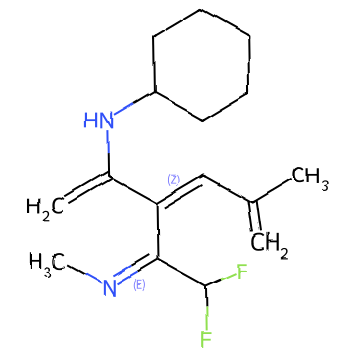 C=C(C)/C=C(C(=C)NC1CCCCC1)\C(=N/C)C(F)F